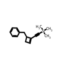 C[Si](C)(C)C#CC1=CCC1Cc1ccccc1